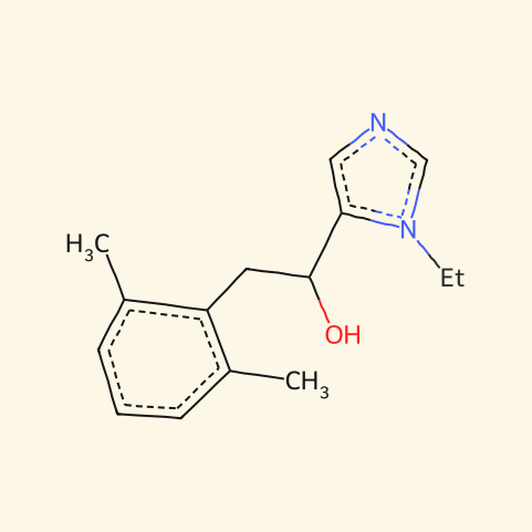 CCn1cncc1C(O)Cc1c(C)cccc1C